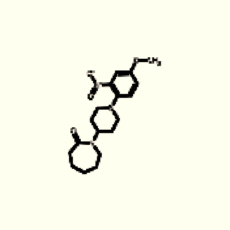 COc1ccc(N2CCC(N3CCCCCC3=O)CC2)c([N+](=O)[O-])c1